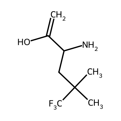 C=C(O)C(N)CC(C)(C)C(F)(F)F